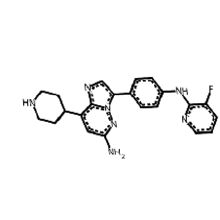 Nc1cc(C2CCNCC2)c2ncc(-c3ccc(Nc4ncccc4F)cc3)n2n1